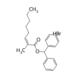 Br.CCCCC/C=C(/C)C(=O)OC(c1ccccc1)c1ccccc1